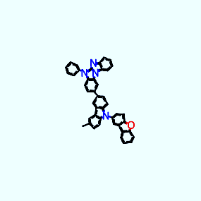 Cc1ccc2c(c1)c1cc(-c3ccc4c(c3)n3c5ccccc5nc3n4-c3ccccc3)ccc1n2-c1ccc2oc3ccccc3c2c1